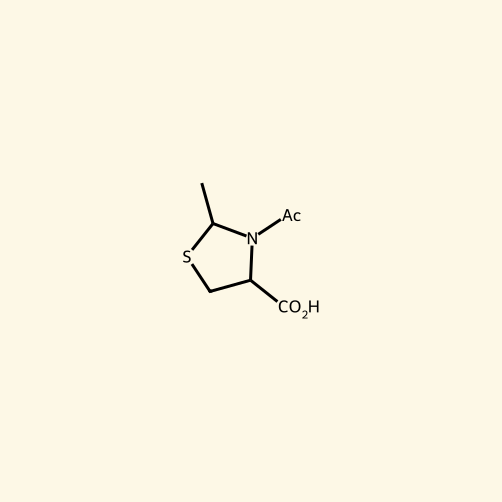 CC(=O)N1C(C)SCC1C(=O)O